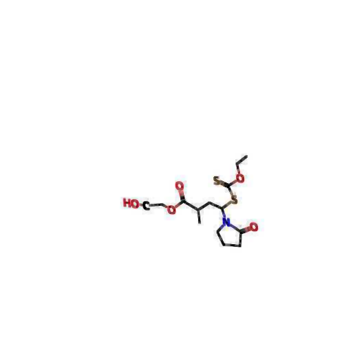 CCOC(=S)SC(CC(C)C(=O)OCCO)N1CCCC1=O